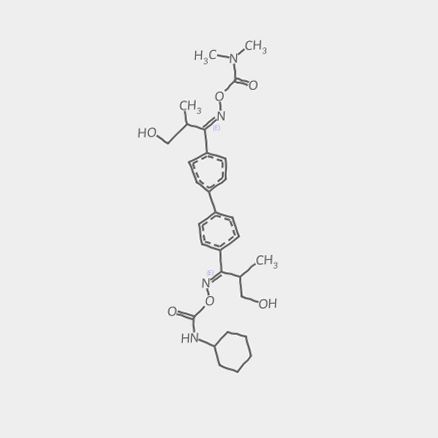 CC(CO)/C(=N\OC(=O)NC1CCCCC1)c1ccc(-c2ccc(/C(=N/OC(=O)N(C)C)C(C)CO)cc2)cc1